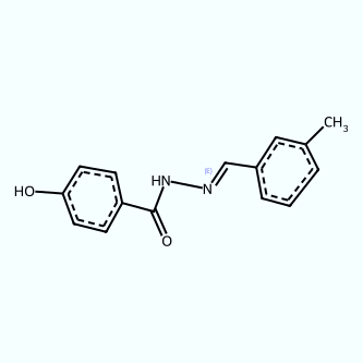 Cc1cccc(/C=N/NC(=O)c2ccc(O)cc2)c1